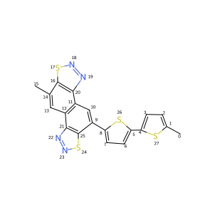 Cc1ccc(-c2ccc(-c3cc4c(cc(C)c5snnc54)c4nnsc34)s2)s1